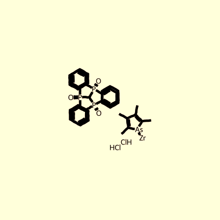 CC1=C(C)[As]([Zr])C(C)=C1C.Cl.Cl.O=P(c1ccccc1)(c1ccccc1)C(P(=O)(c1ccccc1)c1ccccc1)P(=O)(c1ccccc1)c1ccccc1